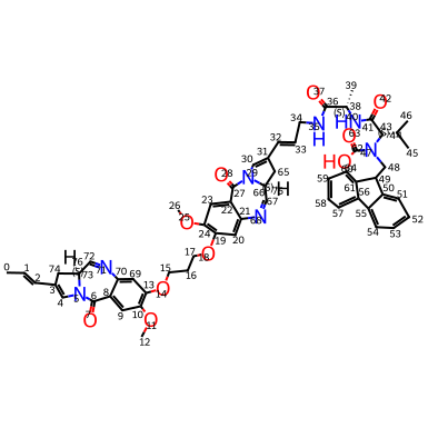 CC=CC1=CN2C(=O)c3cc(OC)c(OCCCOc4cc5c(cc4OC)C(=O)N4C=C(C=CCNC(=O)[C@H](C)NC(=O)[C@H](C(C)C)N(CC6c7ccccc7-c7ccccc76)C(=O)O)C[C@H]4C=N5)cc3N=C[C@@H]2C1